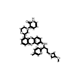 COC1CN(CCC(Nc2ccc3c(c2)Sc2cccc(C4CN(c5ccc[nH]c5=O)CCO4)c2S3)c2ccc(C)cn2)C1